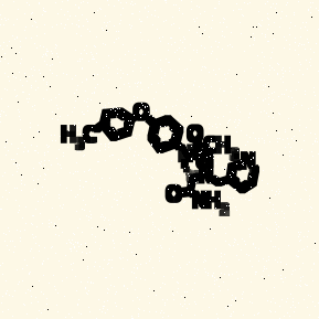 Cc1ccc(Oc2ccc(N(C[C@H](NCc3cccnc3)C(N)=O)S(C)(=O)=O)cc2)cc1